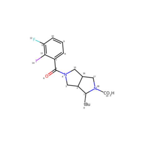 CC(C)(C)C1C2CN(C(=O)c3cccc(F)c3I)CC2CN1C(=O)O